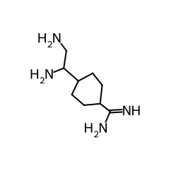 N=C(N)C1CCC(C(N)CN)CC1